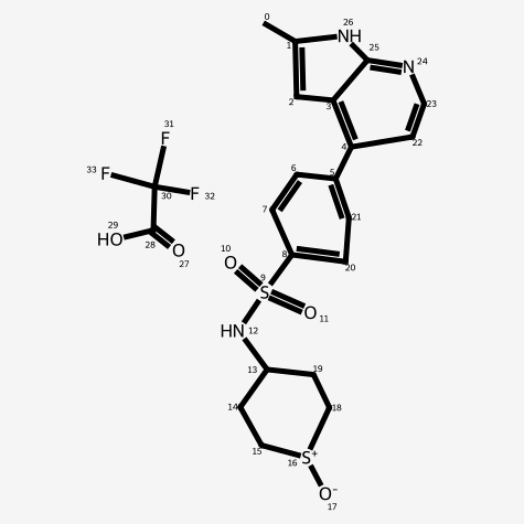 Cc1cc2c(-c3ccc(S(=O)(=O)NC4CC[S+]([O-])CC4)cc3)ccnc2[nH]1.O=C(O)C(F)(F)F